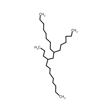 CCCCCCCCC(CCC)CC(CCCCCC)CCCCCCCC